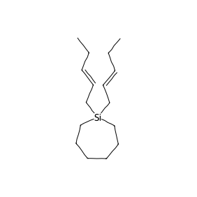 CCC=CC[Si]1(CC=CCC)CCCCCC1